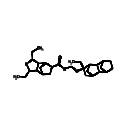 CCC1OC(CC)C2C3CC(CC3C(=O)OCOC3(CC)CC4CC3C3C5CCC(C5)C43)C12